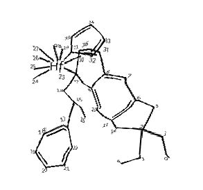 CCC1(CC)Cc2cc3c(cc2C1)[C](CC(C)c1ccccc1)([Hf]([CH3])([CH3])([CH3])([CH3])([CH3])([CH3])([CH3])[CH]1C=CC=C1)C=C3